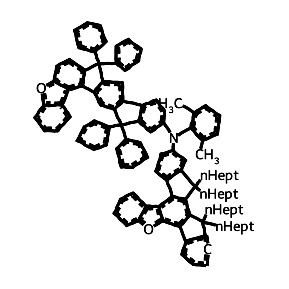 CCCCCCCC1(CCCCCCC)c2ccccc2-c2c1c1c(c3c2oc2ccccc23)-c2ccc(N(c3ccc4c(c3)C(c3ccccc3)(c3ccccc3)c3cc5c(cc3-4)C(c3ccccc3)(c3ccccc3)c3ccc4oc6ccccc6c4c3-5)c3c(C)cccc3C)cc2C1(CCCCCCC)CCCCCCC